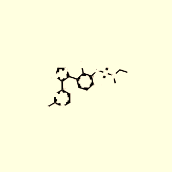 CCN(C)S(=O)(=O)Nc1cccc(-c2ncsc2-c2ccnc(Cl)n2)c1F